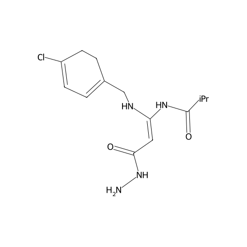 CC(C)C(=O)N/C(=C/C(=O)NN)NCC1=CC=C(Cl)CC1